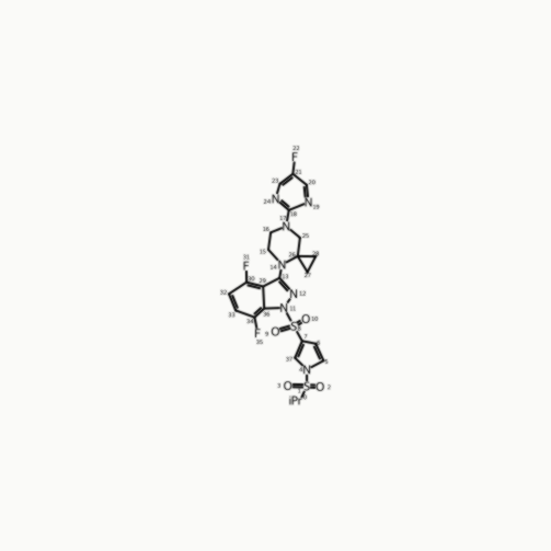 CC(C)S(=O)(=O)n1ccc(S(=O)(=O)n2nc(N3CCN(c4ncc(F)cn4)CC34CC4)c3c(F)ccc(F)c32)c1